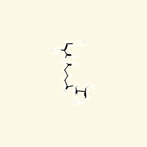 C/C(=C/C(=O)O)C(=O)OC(=O)CCCC(=O)OC(=O)/C(C)=C\C(=O)O